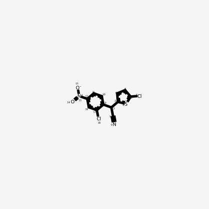 N#CC(c1ccc(Cl)s1)c1ccc([N+](=O)[O-])cc1Cl